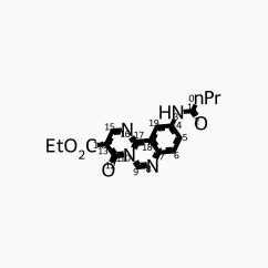 CCCC(=O)Nc1ccc2ncn3c(=O)c(C(=O)OCC)cnc3c2c1